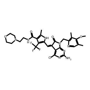 COc1c(C)cnc(CN2C(=O)C(=Cc3[nH]c(C)c(C(=O)NCCN4CCOCC4)c3C(F)(F)F)c3c(Cl)nc(N)nc32)c1C